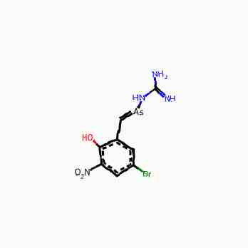 N=C(N)N/[As]=C/c1cc(Br)cc([N+](=O)[O-])c1O